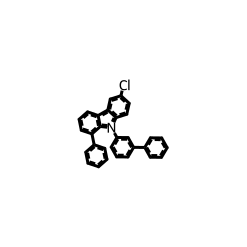 Clc1ccc2c(c1)c1cccc(-c3ccccc3)c1n2-c1cccc(-c2ccccc2)c1